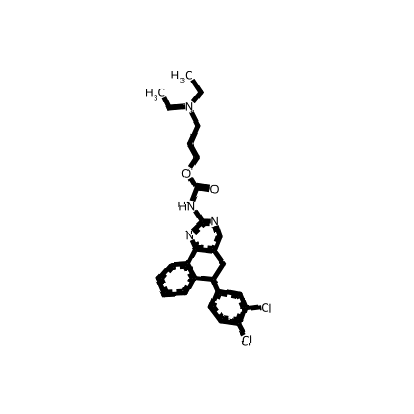 CCN(CC)CCCOC(=O)Nc1ncc2c(n1)-c1ccccc1C(c1ccc(Cl)c(Cl)c1)C2